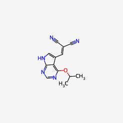 CC(C)Oc1ncnc2[nH]cc(C=C(C#N)C#N)c12